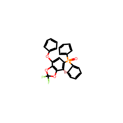 O=P(c1ccccc1)(c1ccccc1)c1cc(Oc2ccccc2)c2c(c1Br)OC(F)(F)O2